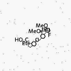 CC[C@@]1(CC(=O)O)CCc2ccc(OCc3ccc(-c4cc(OC)ccc4F)c([C@H](OC)C(C)(C)C)c3)cc21